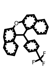 FC(F)(F)c1ccc(C2c3c(ccc4ccccc34)Oc3ccc4ccccc4c32)cc1